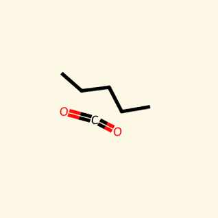 CCCCC.O=C=O